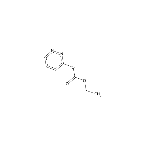 CCOC(=O)Oc1cccnn1